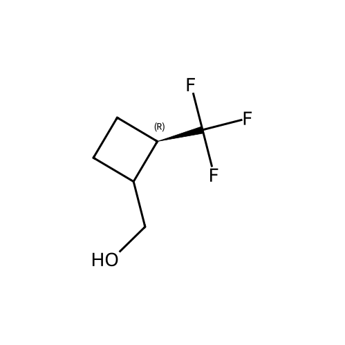 OCC1CC[C@H]1C(F)(F)F